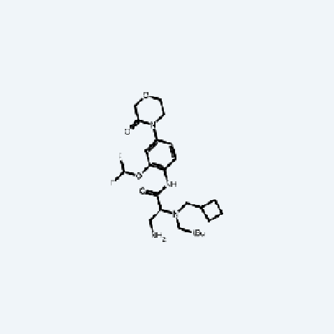 CC(C)(C)CN(CC1CCC1)[C@@H](CN)C(=O)Nc1ccc(N2CCOCC2=O)cc1OC(F)F